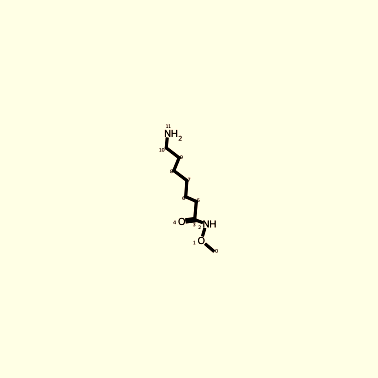 CONC(=O)CCCCCCN